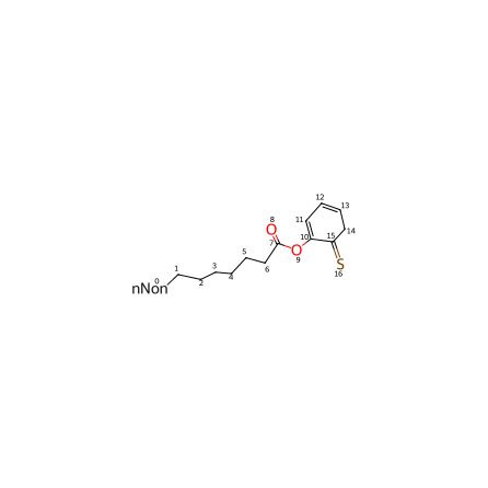 CCCCCCCCCCCCCCCC(=O)OC1=CC=CCC1=S